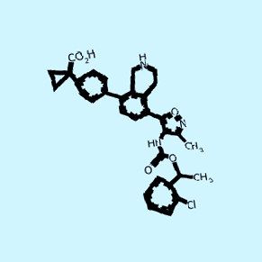 Cc1noc(-c2ccc(-c3ccc(C4(C(=O)O)CC4)cc3)c3c2CCNC3)c1NC(=O)OC(C)c1ccccc1Cl